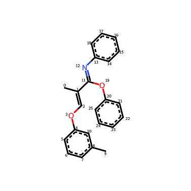 CC(=C\Oc1cccc(C)c1)/C(=N/c1ccccc1)Oc1ccccc1